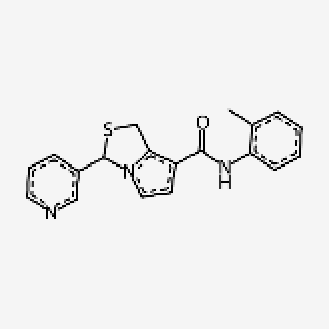 Cc1ccccc1NC(=O)c1ccn2c1CSC2c1cccnc1